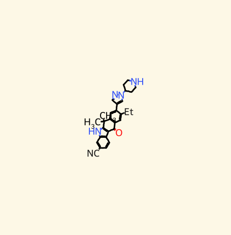 CCc1cc2c(cc1-c1cnn(C3CCNCC3)c1)C(C)(C)c1[nH]c3cc(C#N)ccc3c1C2=O